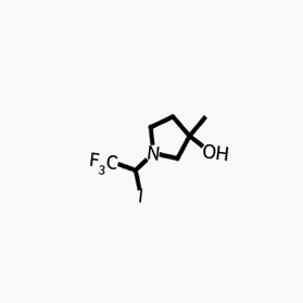 CC1(O)CCN(C(I)C(F)(F)F)C1